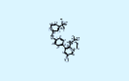 O=S1(=O)CC[n+]2cc(Cl)cc(-c3ccc(Oc4cc(C(F)(F)F)ccn4)cc3)c2N1